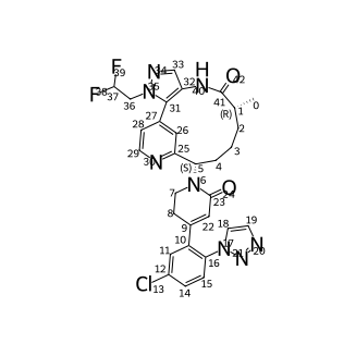 C[C@@H]1CCC[C@H](N2CCC(c3cc(Cl)ccc3-n3ccnn3)=CC2=O)c2cc(ccn2)-c2c(cnn2CC(F)F)NC1=O